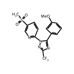 COc1cccc(-c2nc(C(F)(F)F)nn2-c2ccc(S(C)(=O)=O)cn2)c1